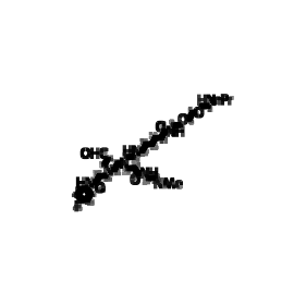 CCCNCCOCCOCCNC(=O)CCCCCNCCN(CCC(=O)NCCNC)CCN(CCC=O)CCC(=O)Nc1ccc(F)cc1